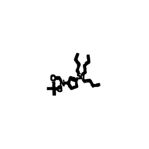 CCC[CH2][Sn]([CH2]CCC)([CH2]CCC)[C]1=CC(N(C=O)OC(C)(C)C)CC1